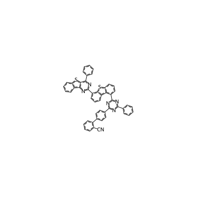 N#Cc1ccccc1-c1ccc(-c2nc(-c3ccccc3)nc(-c3cccc4sc5c(-c6nc(-c7ccccc7)c7sc8ccccc8c7n6)cccc5c34)n2)cc1